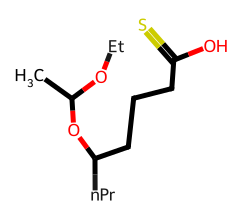 CCCC(CCCC(O)=S)OC(C)OCC